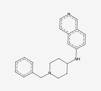 c1ccc(CN2CCC(Nc3ccc4cnccc4c3)CC2)cc1